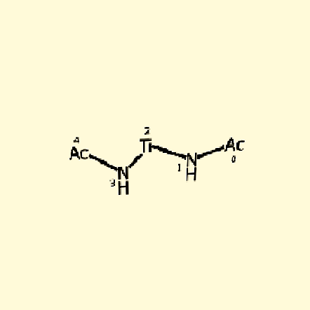 CC(=O)[NH][Ti][NH]C(C)=O